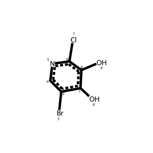 Oc1c(Br)cnc(Cl)c1O